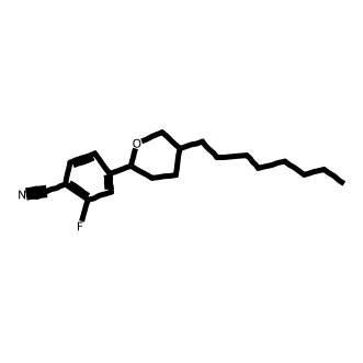 CCCCCCCCC1CCC(c2ccc(C#N)c(F)c2)OC1